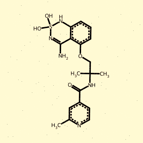 Cc1cc(C(=O)NC(C)(C)COc2cccc3c2C(N)=NS(O)(O)N3)ccn1